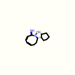 CN1C(=N)/C=C\C=C/CC[C@H]1C1CCCCC1